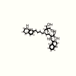 O=C(O)C(CCN(CCCCc1ccc2c(n1)NCCC2)CC(F)(CO)CO)Nc1ncnc2ccccc12